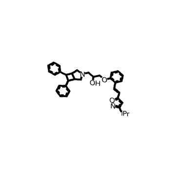 CC(C)c1cc(/C=C/c2ccccc2OCC(O)CN2CC3C(C2)C(c2ccccc2)C3c2ccccc2)on1